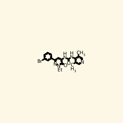 CCn1nc(-c2cccc(Br)c2)cc(NC(=O)Nc2c(C)cncc2C)c1=O